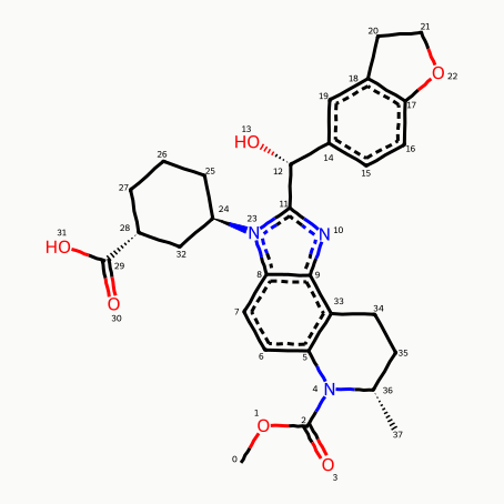 COC(=O)N1c2ccc3c(nc([C@H](O)c4ccc5c(c4)CCO5)n3[C@@H]3CCC[C@@H](C(=O)O)C3)c2CC[C@@H]1C